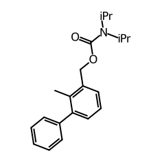 Cc1c(COC(=O)N(C(C)C)C(C)C)cccc1-c1ccccc1